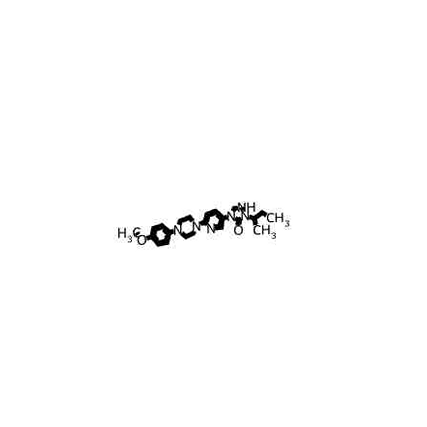 CCC(C)N1NCN(c2ccc(N3CCN(c4ccc(OC)cc4)CC3)nc2)C1=O